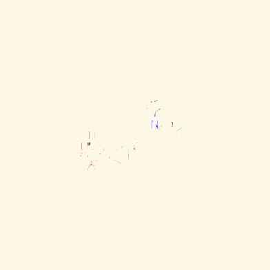 COC(Cc1ccc(OCCCN2SC3=C(CC=C3)Cc3ccsc32)cc1)C(=O)O